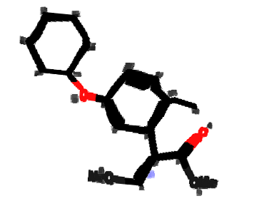 CO/C=C(/C(=O)OC)c1cc(OC2CCCCC2)ccc1C